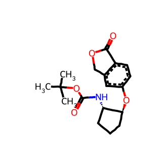 CC(C)(C)OC(=O)N[C@H]1CCC[C@@H]1Oc1ccc2c(c1)COC2=O